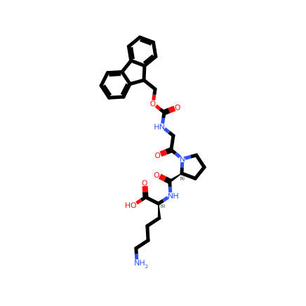 NCCCC[C@H](NC(=O)[C@@H]1CCCN1C(=O)CNC(=O)OCC1c2ccccc2-c2ccccc21)C(=O)O